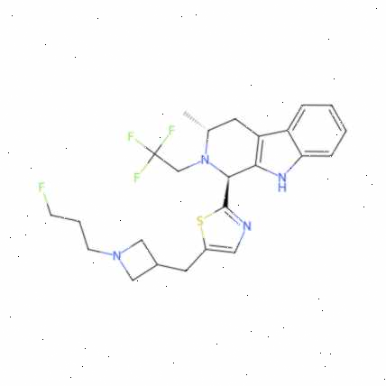 C[C@@H]1Cc2c([nH]c3ccccc23)[C@@H](c2ncc(CC3CN(CCCF)C3)s2)N1CC(F)(F)F